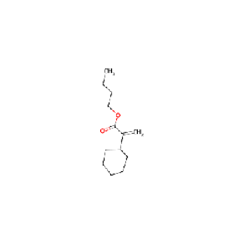 C=C(C(=O)OCCCC)C1CCCCC1